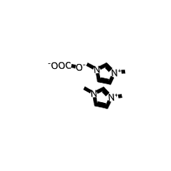 Cn1cc[n+](C)c1.Cn1cc[n+](C)c1.O=C([O-])[O-]